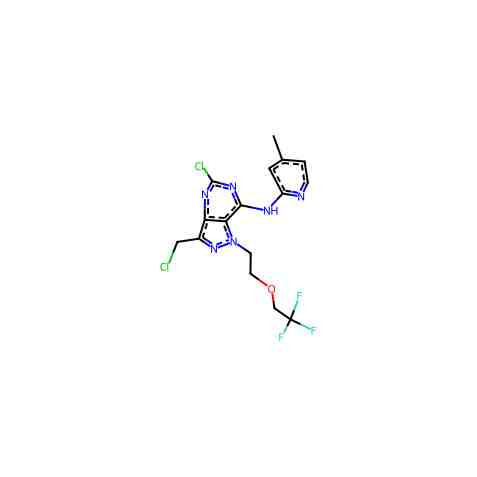 Cc1ccnc(Nc2nc(Cl)nc3c(CCl)nn(CCOCC(F)(F)F)c23)c1